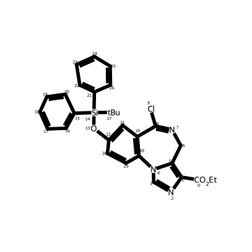 CCOC(=O)c1ncn2c1CN=C(Cl)c1cc(O[Si](c3ccccc3)(c3ccccc3)C(C)(C)C)ccc1-2